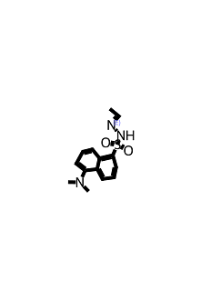 C/C=N/NS(=O)(=O)c1cccc2c(N(C)C)cccc12